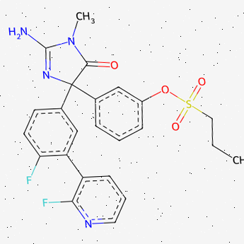 CCCS(=O)(=O)Oc1cccc(C2(c3ccc(F)c(-c4cccnc4F)c3)N=C(N)N(C)C2=O)c1